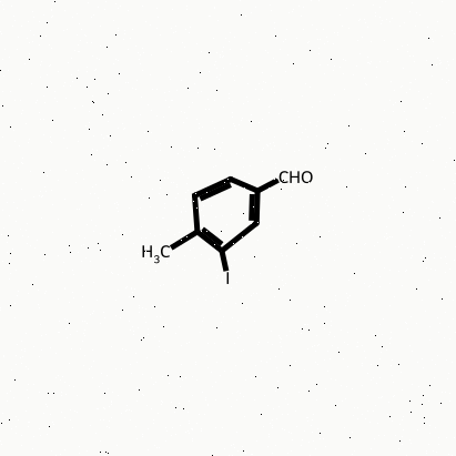 Cc1ccc(C=O)cc1I